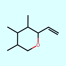 C=CC1OCC(C)C(C)C1C